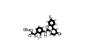 Cc1c(CC(=O)OC(C)(C)C)cccc1NC(=O)N1C=CC(=O)CC1c1ccc(F)cc1